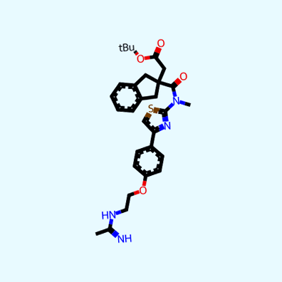 CC(=N)NCCOc1ccc(-c2csc(N(C)C(=O)C3(CC(=O)OC(C)(C)C)Cc4ccccc4C3)n2)cc1